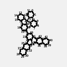 c1ccc(C2(c3ccccc3)c3ccccc3-c3ccc(-c4cc5c6cc7ccccc7cc6n6c7cc8ccccc8cc7c(c4)c56)cc32)cc1